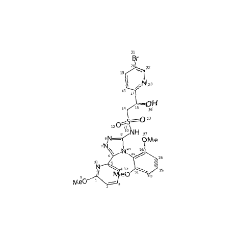 COc1cccc(-c2nnc(NS(=O)(=O)C[C@H](O)c3ccc(Br)cn3)n2-c2c(OC)cccc2OC)n1